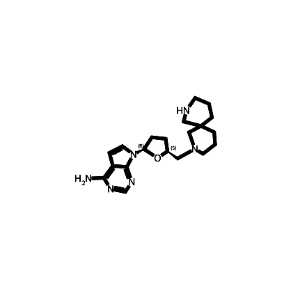 Nc1ncnc2c1ccn2[C@H]1CC[C@@H](CN2CCCC3(CCCNC3)C2)O1